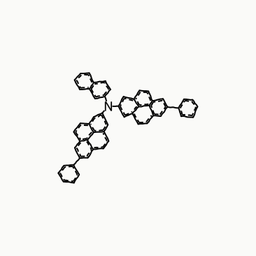 c1ccc(-c2cc3ccc4cc(N(c5ccc6ccccc6c5)c5cc6ccc7cc(-c8ccccc8)cc8ccc(c5)c6c78)cc5ccc(c2)c3c45)cc1